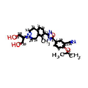 Cc1c(-c2noc(-c3ccc(OC(C)C)c(C#N)c3)n2)ccc2c1CCN(C(CO)CO)CC2